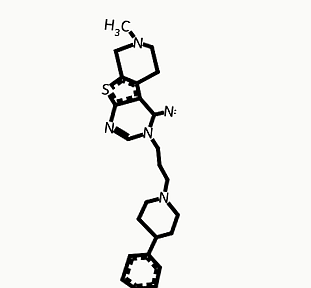 CN1CCc2c(sc3c2C([N])N(CCCN2CCC(c4ccccc4)CC2)C=N3)C1